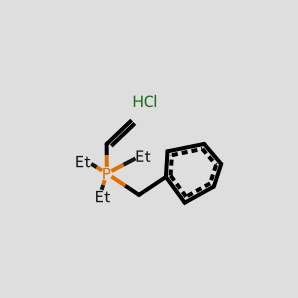 C=CP(CC)(CC)(CC)Cc1ccccc1.Cl